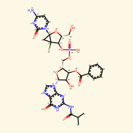 CC(C)C(=O)Nc1nc2c(ncn2[C@@H]2O[C@H](COP(=O)(S)OC3[C@@H](CO)O[C@@]4(n5ccc(N)nc5=O)CC34F)C(OC(=O)c3ccccc3)C2O)c(=O)[nH]1